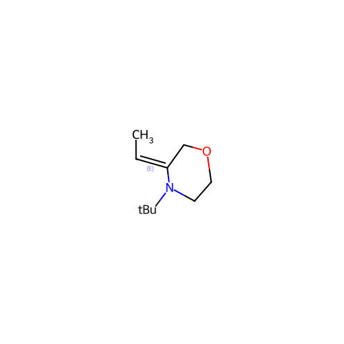 C/C=C1\COCCN1C(C)(C)C